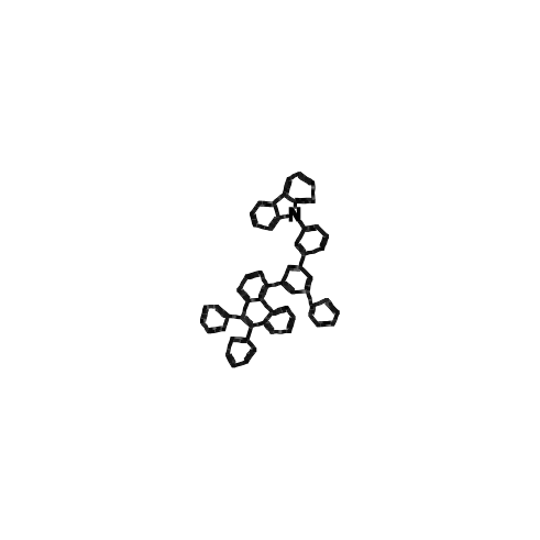 c1ccc(-c2cc(-c3cccc(-n4c5ccccc5c5ccccc54)c3)cc(-c3cccc4c(-c5ccccc5)c(-c5ccccc5)c5ccccc5c34)c2)cc1